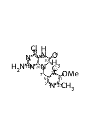 COc1c(C)ncc(CN2CC(=O)Nc3c(Cl)nc(N)nc32)c1C